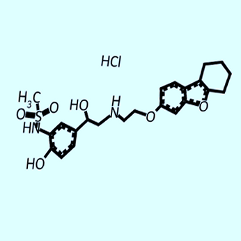 CS(=O)(=O)Nc1cc(C(O)CNCCOc2ccc3c4c(oc3c2)CCCC4)ccc1O.Cl